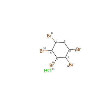 BrC1CC(Br)C(Br)C(Br)C1Br.Cl